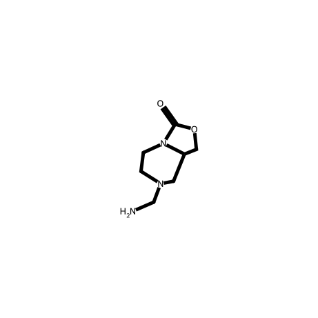 NCN1CCN2C(=O)OCC2C1